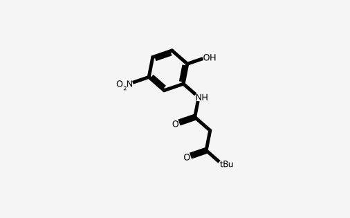 CC(C)(C)C(=O)CC(=O)Nc1cc([N+](=O)[O-])ccc1O